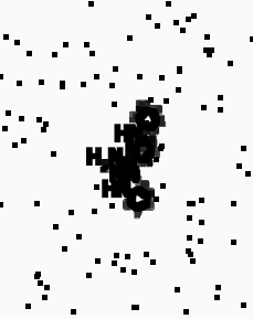 Nc1nc(Nc2ccccc2)nn1-c1ccnc(Nc2ccccc2)n1